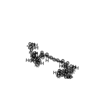 CC[C@@H](COC1OC(C)C(O)C(O)C1O)CC(C[C@H](C)O[C@@H]1O[C@@H](CO)C(O)C(O[C@@H](CC2CCCCC2)C(=O)O)C1NC(=O)CSC1CC(=O)N(CCC(=O)NCCOCCOCCOCCNC(=O)CCN2C(=O)CC(SCC(=O)NC3C(O[C@@H](CC4CCCCC4)C(=O)O)C(O)[C@H](CO)O[C@H]3OC3CC(C(=O)OC)C[C@@H](CC)C3OC3OC(C)C(O)C(O)C3O)C2=O)C1=O)C(=O)OC